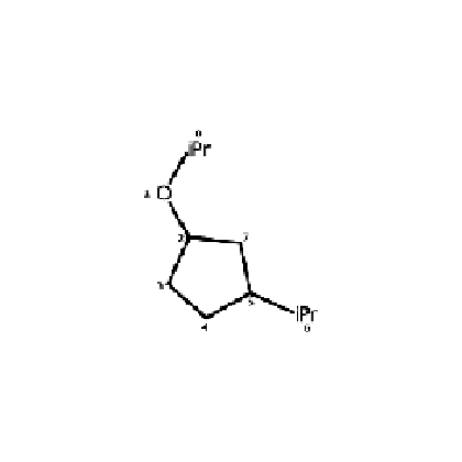 CC(C)OC1CCC(C(C)C)C1